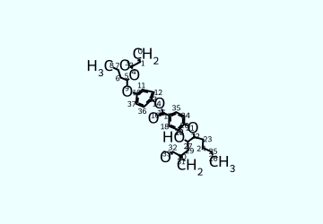 C=CC(=O)OC(CCC)Oc1ccc(OC(=O)c2ccc(OC(CCCC)C(O)CC(=C)C=O)cc2)cc1